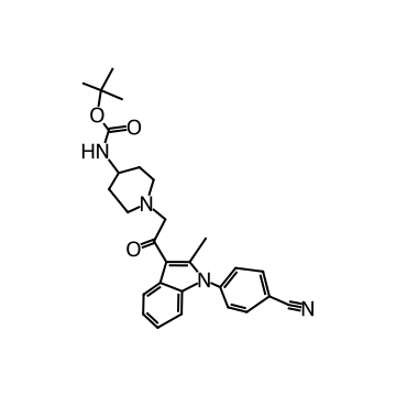 Cc1c(C(=O)CN2CCC(NC(=O)OC(C)(C)C)CC2)c2ccccc2n1-c1ccc(C#N)cc1